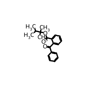 CC(C)C(C)(C)OC(=O)c1ccccc1C(=O)c1ccccc1